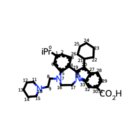 CC(C)c1ccc2c(c1)N(CCN1CCCCC1)CCn1c-2c(C2CCCCC2)c2ccc(C(=O)O)cc21